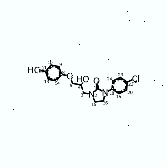 O=C1N(C[C@H](O)COc2ccc(O)cc2)CCN1c1ccc(Cl)cc1